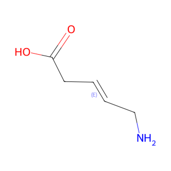 NC/C=C/CC(=O)O